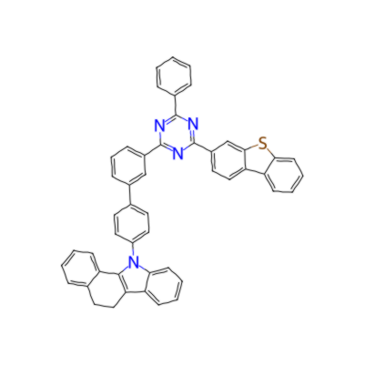 c1ccc(-c2nc(-c3cccc(-c4ccc(-n5c6c(c7ccccc75)CCc5ccccc5-6)cc4)c3)nc(-c3ccc4c(c3)sc3ccccc34)n2)cc1